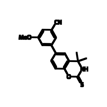 COc1cc(C#N)cc(-c2ccc3c(c2)C(C)(C)NC(=S)O3)c1